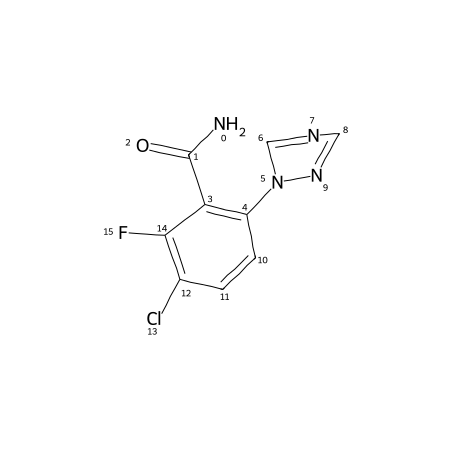 NC(=O)c1c(-n2cncn2)ccc(Cl)c1F